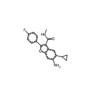 CNC(=O)c1c(-c2ccc(F)cc2)oc2cc(N)c(C3CC3)cc12